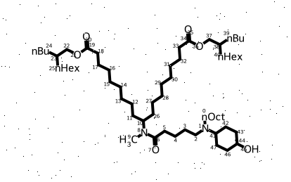 CCCCCCCCN(CCCCC(=O)N(C)C(CCCCCCCCC(=O)OCC(CCCC)CCCCCC)CCCCCCCCC(=O)OCC(CCCC)CCCCCC)C1CCC(O)CC1